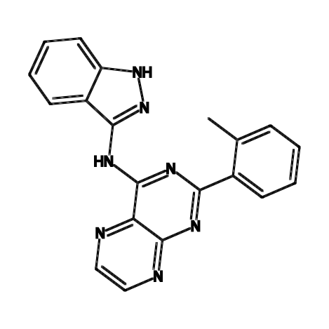 Cc1ccccc1-c1nc(Nc2n[nH]c3ccccc23)c2nccnc2n1